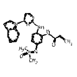 C=CC(=O)Nc1cc(N=S(C)(C)=O)ccc1Nc1nccc(-n2ccc3ccccc32)n1